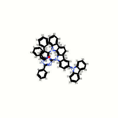 c1ccc(-c2nc(-c3ccccc3)nc(-n3c4ccc(-n5c6ccccc6c6ccccc65)cc4c4ccc5c6ccccc6n(-c6ccccc6-c6ccccc6)c5c43)n2)cc1